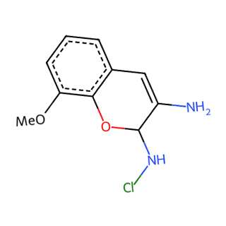 COc1cccc2c1OC(NCl)C(N)=C2